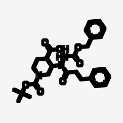 CC(C)(C)OC(=O)N1CCC(C(=O)O)C(N(NC(=O)OCc2ccccc2)C(=O)CCc2ccccc2)C1